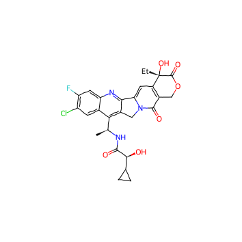 CC[C@@]1(O)C(=O)OCc2c1cc1n(c2=O)Cc2c-1nc1cc(F)c(Cl)cc1c2[C@H](C)NC(=O)[C@@H](O)C1CC1